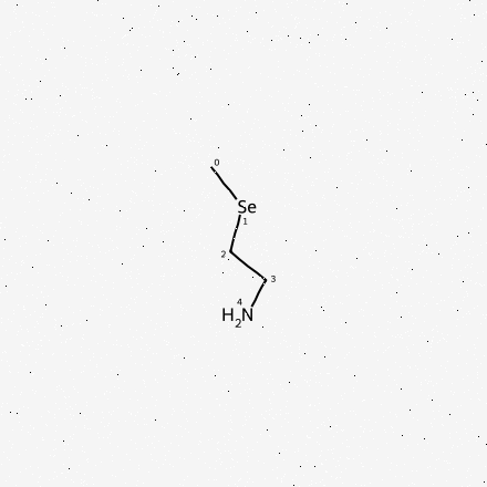 C[Se]CCN